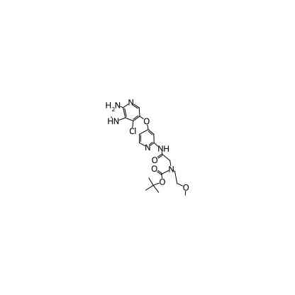 CNc1c(N)ncc(Oc2ccnc(NC(=O)CN(CCOC)C(=O)OC(C)(C)C)c2)c1Cl